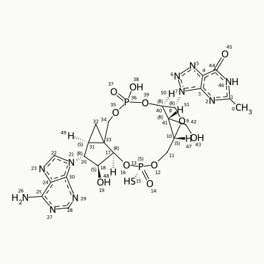 Cc1nc2c(nnn2[C@@H]2O[C@@H]3CO[P@](=O)(S)O[C@H]4[C@@H](O)[C@H](n5cnc6c(N)ncnc65)[C@H]5CC54COP(=O)(O)O[C@@H]2[C@@H]3CO)c(=O)[nH]1